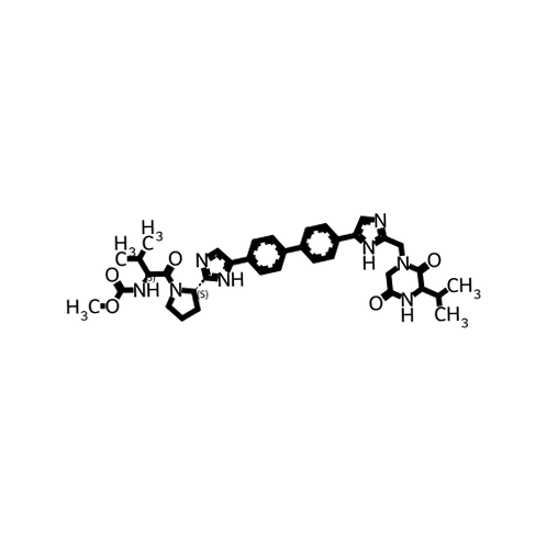 COC(=O)N[C@H](C(=O)N1CCC[C@H]1c1ncc(-c2ccc(-c3ccc(-c4cnc(CN5CC(=O)NC(C(C)C)C5=O)[nH]4)cc3)cc2)[nH]1)C(C)C